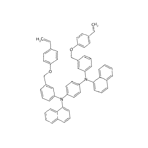 C=Cc1ccc(OCc2cccc(N(c3ccc(N(c4cccc(COc5ccc(C=C)cc5)c4)c4cccc5ccccc45)cc3)c3cccc4ccccc34)c2)cc1